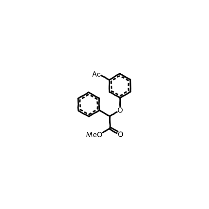 COC(=O)C(Oc1cccc(C(C)=O)c1)c1ccccc1